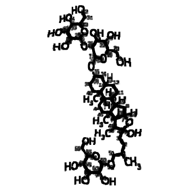 CC(CC[C@@]1(O)O[C@H]2C[C@H]3[C@@H]4CC[C@@H]5C[C@@H](O[C@@H]6O[C@H](CO)[C@@H](O)[C@H](O)[C@H]6O[C@@H]6O[C@H](CO)[C@@H](O)[C@H](O)[C@H]6O)CC[C@]5(C)[C@H]4CC[C@]3(C)[C@H]2[C@@H]1C)CO[C@@H]1O[C@H](CO)[C@@H](O)[C@H](O)[C@H]1O